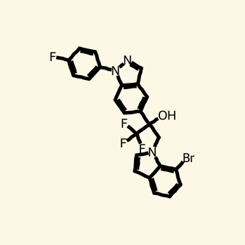 OC(Cn1ccc2cccc(Br)c21)(c1ccc2c(cnn2-c2ccc(F)cc2)c1)C(F)(F)F